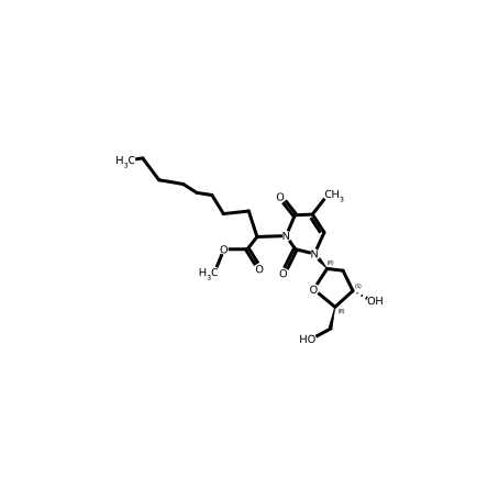 CCCCCCCCC(C(=O)OC)n1c(=O)c(C)cn([C@H]2C[C@H](O)[C@@H](CO)O2)c1=O